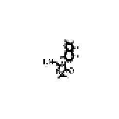 NCC1=NC2(CC2)C(=O)N1c1ccc2cccnc2c1